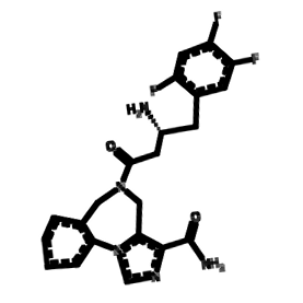 NC(=O)c1ncn2c1CN(C(=O)C[C@H](N)Cc1cc(F)c(F)cc1F)Cc1ccccc1-2